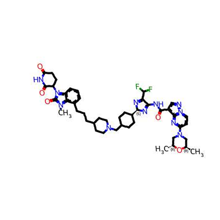 C[C@@H]1CN(c2ccn3ncc(C(=O)NC4=N[C@@H](C5CCC(CN6CCC(CCCc7cccc8c7n(C)c(=O)n8C7CCC(=O)NC7=O)CC6)CC5)N=C4C(F)F)c3n2)C[C@@H](C)O1